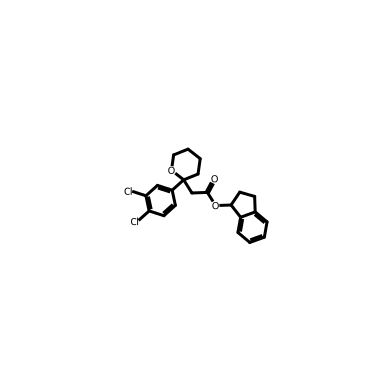 O=C(CC1(c2ccc(Cl)c(Cl)c2)CCCCO1)OC1CCc2ccccc21